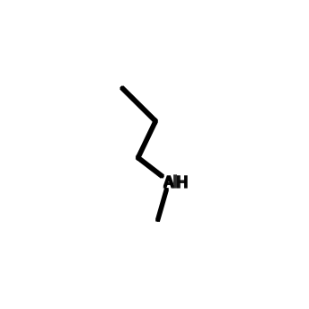 CC[CH2][AlH][CH3]